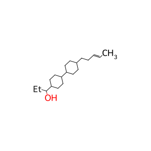 CC=CCCC1CCC(C2CCC(C(O)CC)CC2)CC1